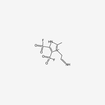 Cc1[nH]c(S(=O)(=O)F)c(S(=O)(=O)F)[n+]1CC=N